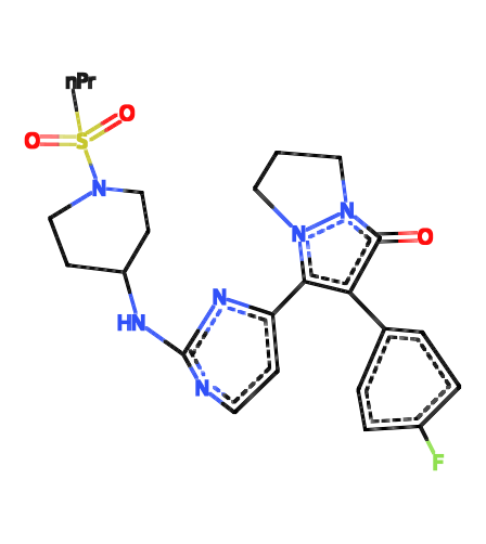 CCCS(=O)(=O)N1CCC(Nc2nccc(-c3c(-c4ccc(F)cc4)c(=O)n4n3CCC4)n2)CC1